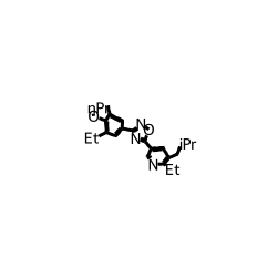 CCCOc1c(C)cc(-c2noc(-c3cnc(CC)c(CC(C)C)c3)n2)cc1CC